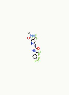 O=C(/C=C/c1cc(C(F)(F)F)c(C(=O)NC2CC2)cn1)NC(c1cccc(C(F)(F)F)c1)C(F)(F)F